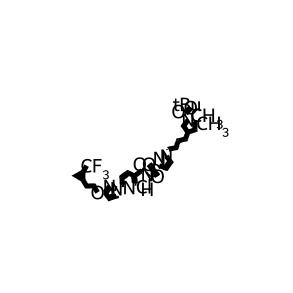 CC(C)(C)OC(=O)N1CC(CCCCn2ccc(S(=O)(=O)NC(=O)c3ccc(-n4ccc(OCCC5CC5C(F)(F)F)n4)nc3Cl)n2)CC1(C)C